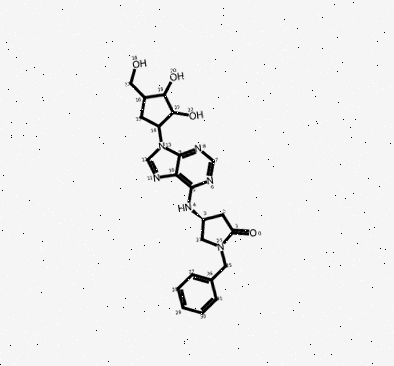 O=C1C[C@H](Nc2ncnc3c2ncn3C2CC(CO)C(O)C2O)CN1Cc1ccccc1